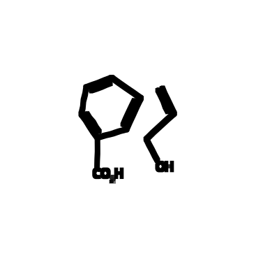 C=CCO.O=C(O)c1ccccc1